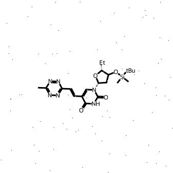 CC[C@H]1O[C@@H](n2cc(/C=C/c3nnc(C)nn3)c(=O)[nH]c2=O)CC1O[Si](C)(C)C(C)(C)C